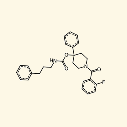 O=C(NCCCc1ccccc1)OC1(c2ccccc2)CCN(C(=O)c2ccccc2F)CC1